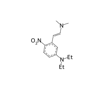 CCN(CC)c1ccc([N+](=O)[O-])c(C=CN(C)C)c1